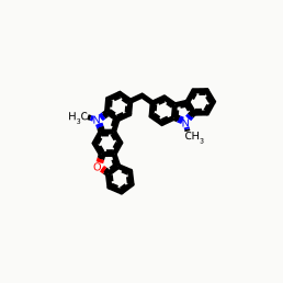 Cn1c2ccccc2c2cc(Cc3ccc4c(c3)c3cc5c(cc3n4C)oc3ccccc35)ccc21